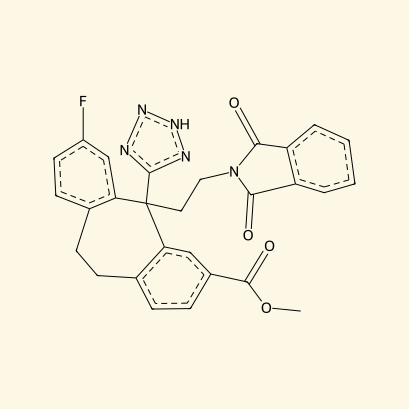 COC(=O)c1ccc2c(c1)C(CCN1C(=O)c3ccccc3C1=O)(c1nn[nH]n1)c1cc(F)ccc1CC2